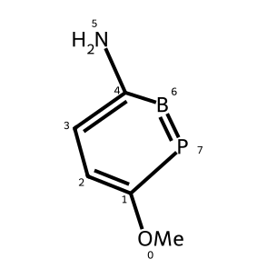 COc1ccc(N)bp1